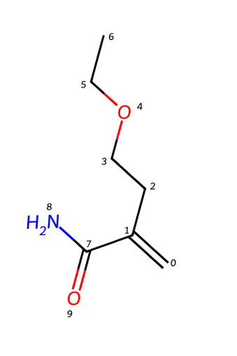 C=C(CCOCC)C(N)=O